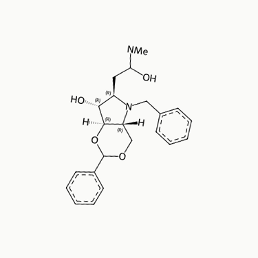 CNC(O)C[C@@H]1[C@@H](O)[C@@H]2OC(c3ccccc3)OC[C@H]2N1Cc1ccccc1